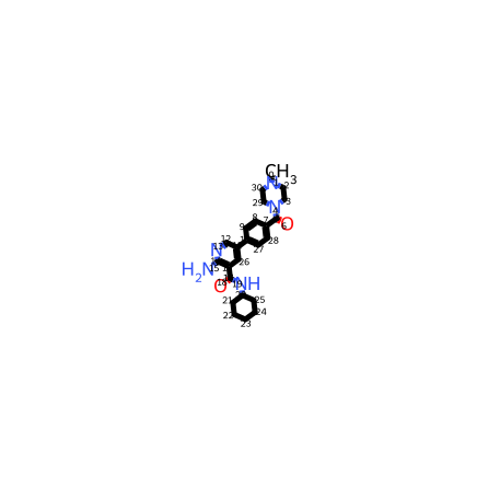 CN1CCN(C(=O)c2ccc(-c3cnc(N)c(C(=O)NC4CCCCC4)c3)cc2)CC1